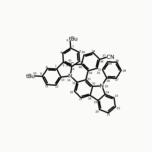 CC(C)(C)c1ccc2c(c1)c1cc(C(C)(C)C)ccc1n2-c1ccc2c3ccccc3n(-c3ccccc3)c2c1-c1cc(C#N)ccc1C#N